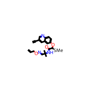 C#Cc1cnc2ccc(OC(SC)C(=O)NC(C)(C)C=NOCC=C)cc2c1